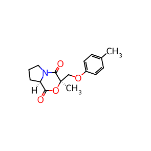 Cc1ccc(OC[C@@]2(C)OC(=O)[C@H]3CCCN3C2=O)cc1